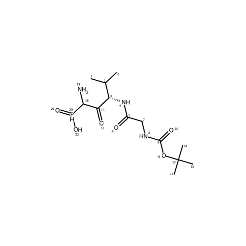 CC(C)[C@H](NC(=O)CNC(=O)OC(C)(C)C)C(=O)C(N)[PH](=O)O